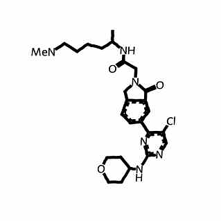 CNCCCCC(C)NC(=O)CN1Cc2ccc(-c3nc(NC4CCOCC4)ncc3Cl)cc2C1=O